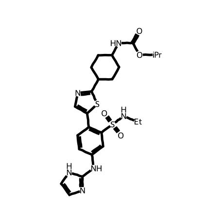 CCNS(=O)(=O)c1cc(Nc2ncc[nH]2)ccc1-c1cnc(C2CCC(NC(=O)OC(C)C)CC2)s1